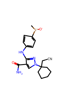 C[S+]([O-])c1ccc(Nc2nn(C3(CC#N)CCCCC3)cc2C(N)=O)cc1